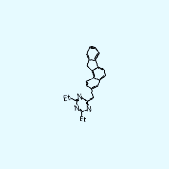 CCc1nc(CC)nc(Cc2ccc3c4c(ccc3c2)-c2ccccc2C4)n1